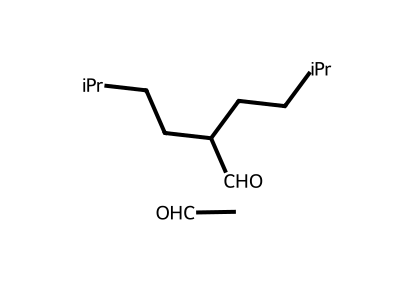 CC(C)CCC(C=O)CCC(C)C.CC=O